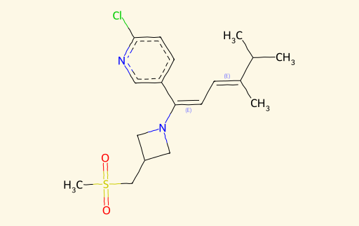 C/C(=C\C=C(/c1ccc(Cl)nc1)N1CC(CS(C)(=O)=O)C1)C(C)C